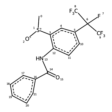 C[S+]([O-])c1cc(C(F)(C(F)(F)F)C(F)(F)F)ccc1NC(=O)c1ccccc1